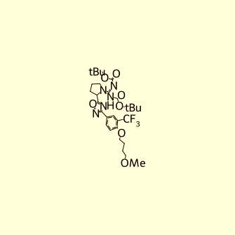 COCCCCOc1ccc(-c2noc(C3CCCN3C(=NC(=O)OC(C)(C)C)NC(=O)OC(C)(C)C)n2)cc1C(F)(F)F